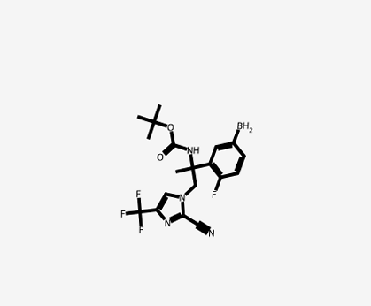 Bc1ccc(F)c(C(C)(Cn2cc(C(F)(F)F)nc2C#N)NC(=O)OC(C)(C)C)c1